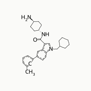 Cc1cccc(-c2ccc3c(c2)c(C(=O)N[C@H]2CC[C@H](N)CC2)cn3CC2CCCCC2)c1